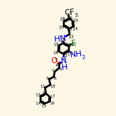 Nc1c(NC(=O)CCCCCCc2ccccc2)ccc(NCc2ccc(C(F)(F)F)cc2)c1F